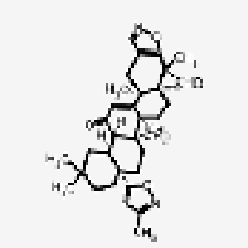 Cc1noc([C@]23CCC(C)(C)C[C@H]2[C@H]2C(=O)C=C4[C@@]5(C)Cc6cnoc6[C@@](C)(C=O)[C@@H]5CC[C@@]4(C)[C@]2(C)CC3)n1